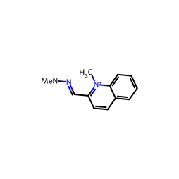 CNN=Cc1ccc2ccccc2[n+]1C